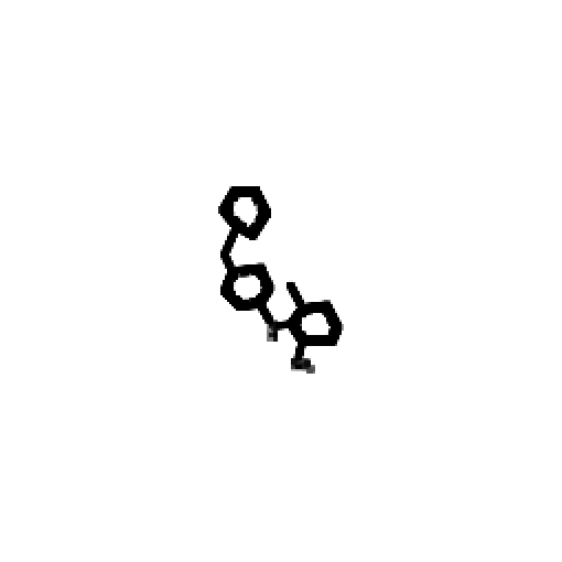 Cc1cccc([N+](=O)[O-])c1Nc1ccc(Cc2ccccc2)cc1